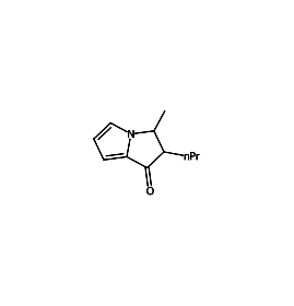 CCCC1C(=O)c2cccn2C1C